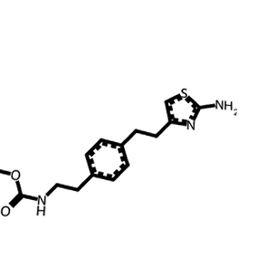 CC(C)(C)OC(=O)NCCc1ccc(CCc2csc(N)n2)cc1